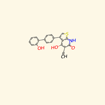 C#Cc1c(O)c2c(-c3ccc(-c4ccccc4O)cc3)csc2[nH]c1=O